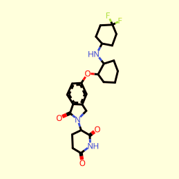 O=C1CCC(N2Cc3cc(OC4CCCCC4NC4CCC(F)(F)CC4)ccc3C2=O)C(=O)N1